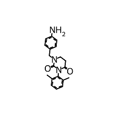 Cc1cccc(C)c1N1C(=O)CCN(Cc2ccc(N)cc2)C1=O